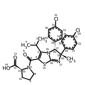 CC(C)C1=C(C(=O)N2CCC[C@H]2C(=O)O)SC2=N[C@@](C)(c3ccc(Cl)cc3)[C@@H](c3ccc(Cl)cc3)N21